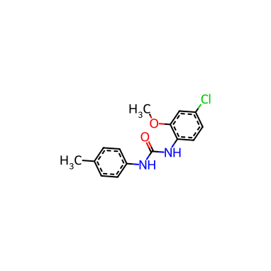 COc1cc(Cl)ccc1NC(=O)Nc1ccc(C)cc1